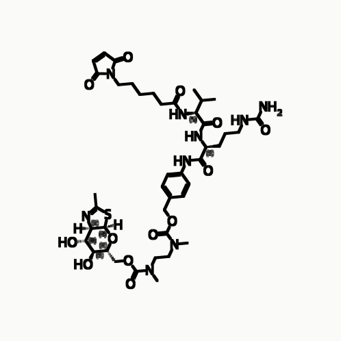 CC1=N[C@@H]2[C@@H](O)[C@H](O)[C@@H](COC(=O)N(C)CCN(C)C(=O)OCc3ccc(NC(=O)[C@H](CCCNC(N)=O)NC(=O)[C@@H](NC(=O)CCCCCN4C(=O)C=CC4=O)C(C)C)cc3)O[C@@H]2S1